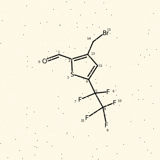 O=Cc1sc(C(F)(F)C(F)(F)F)cc1CBr